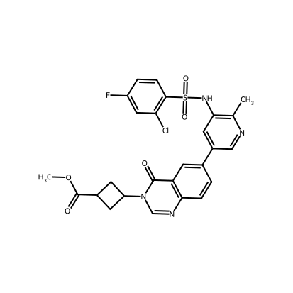 COC(=O)C1CC(n2cnc3ccc(-c4cnc(C)c(NS(=O)(=O)c5ccc(F)cc5Cl)c4)cc3c2=O)C1